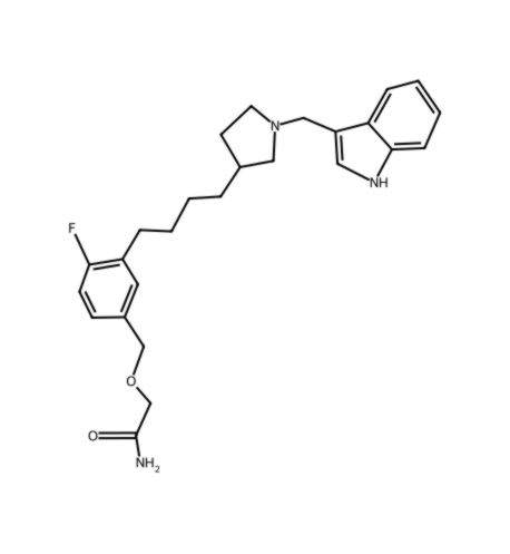 NC(=O)COCc1ccc(F)c(CCCCC2CCN(Cc3c[nH]c4ccccc34)C2)c1